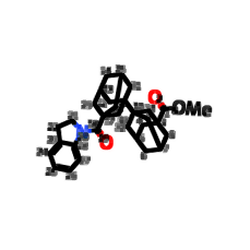 COC(=O)C12CC3CC(C1)CC(C14CC5CC(CC(C(=O)N6CCc7ccccc76)(C5)C1)C4)(C3)C2